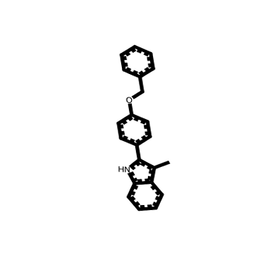 Cc1c(-c2ccc(OCc3ccccc3)cc2)[nH]c2ccccc12